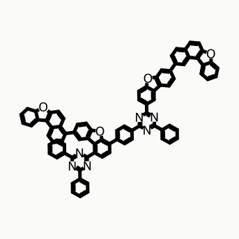 C1=CCC2Oc3ccc4c(-c5ccc6oc7c(-c8ccc(-c9nc(-c%10ccccc%10)nc(-c%10ccc%11oc%12cc(-c%13ccc%14ccc%15oc%16ccccc%16c%15c%14c%13)ccc%12c%11c%10)n9)cc8)ccc(-c8nc(-c9ccccc9)nc(-c9ccccc9)n8)c7c6c5)cccc4c3C2=C1